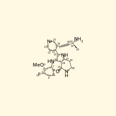 COc1c(F)cccc1Nc1c(-c2ccncc2C#C[C@H](C)N)[nH]c2c1C(=O)NCC2